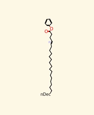 CCCCCCCCCCCCCCCCCCCCCCCCC/C=C/CCC(=O)Oc1ccccc1